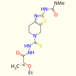 CCO[C@H](C)C(=O)NNC(=S)N1CCc2nc(NC(=O)NC)sc2C1